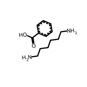 NCCCCCCN.O=C(O)c1ccccc1